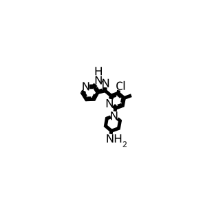 Cc1cc(N2CCC(N)CC2)nc(-c2n[nH]c3ncccc23)c1Cl